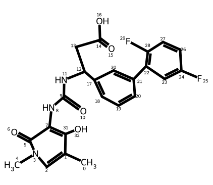 Cc1cn(C)c(=O)c(NC(=O)NC(CC(=O)O)c2cccc(-c3cc(F)ccc3F)c2)c1O